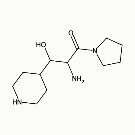 NC(C(=O)N1CCCC1)C(O)C1CCNCC1